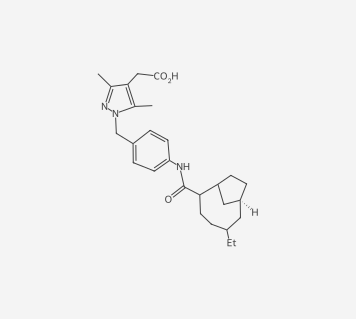 CCC1CCC(C(=O)Nc2ccc(Cn3nc(C)c(CC(=O)O)c3C)cc2)C2CC[C@@H](C1)C2